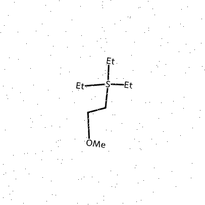 CCS(CC)(CC)CCOC